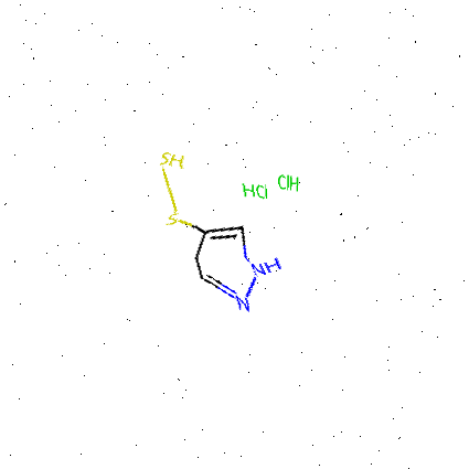 Cl.Cl.SSc1cn[nH]c1